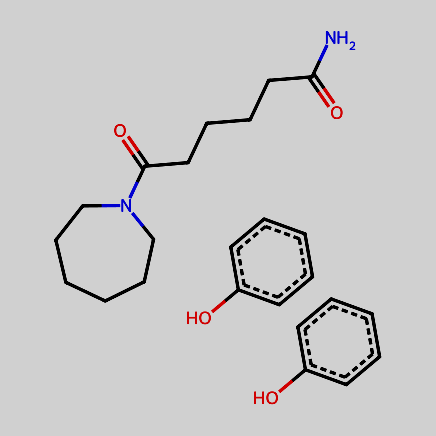 NC(=O)CCCCC(=O)N1CCCCCC1.Oc1ccccc1.Oc1ccccc1